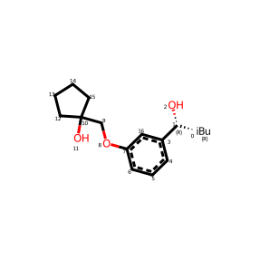 CC[C@@H](C)[C@@H](O)c1cccc(OCC2(O)CCCC2)c1